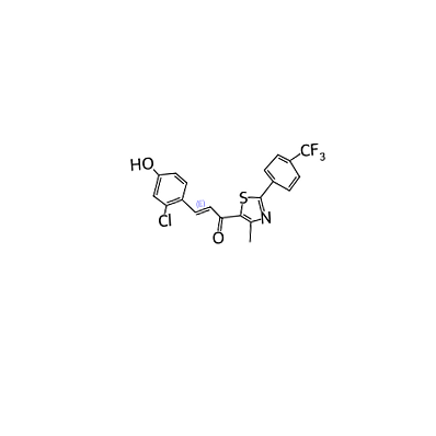 Cc1nc(-c2ccc(C(F)(F)F)cc2)sc1C(=O)/C=C/c1ccc(O)cc1Cl